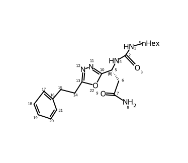 CCCCCCNC(=O)N[C@H](CC(N)=O)c1nnc(CCc2ccccc2)o1